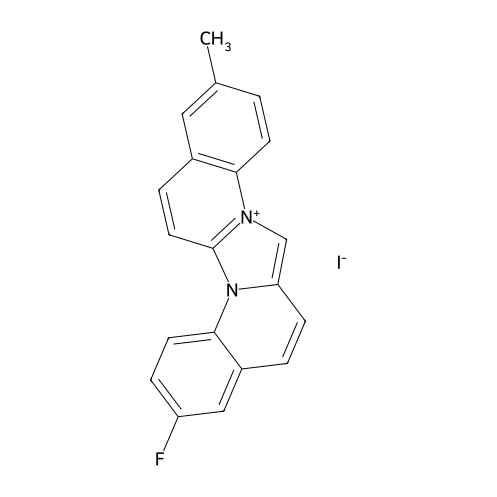 Cc1ccc2c(ccc3n4c(ccc5cc(F)ccc54)c[n+]23)c1.[I-]